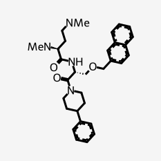 CNCC[C@H](NC)C(=O)N[C@H](COCc1ccc2ccccc2c1)C(=O)N1CCC(c2ccccc2)CC1